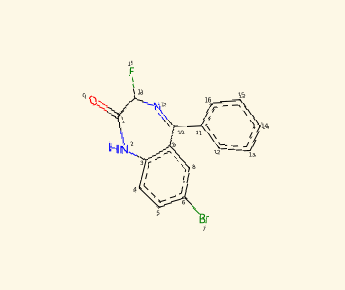 O=C1Nc2ccc(Br)cc2C(c2ccccc2)=NC1F